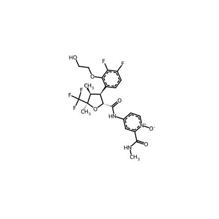 CNC(=O)c1cc(NC(=O)[C@@H]2O[C@@](C)(C(F)(F)F)[C@@H](C)[C@H]2c2ccc(F)c(F)c2OCCO)cc[n+]1[O-]